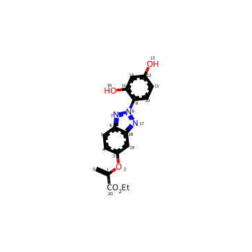 C=C(Oc1ccc2nn(-c3ccc(O)cc3O)nc2c1)C(=O)OCC